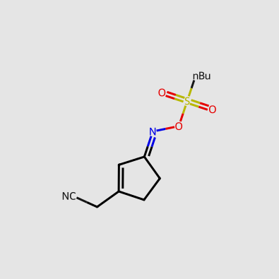 CCCCS(=O)(=O)O/N=C1/C=C(CC#N)CC1